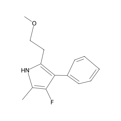 COCCc1[nH]c(C)c(F)c1-c1ccccc1